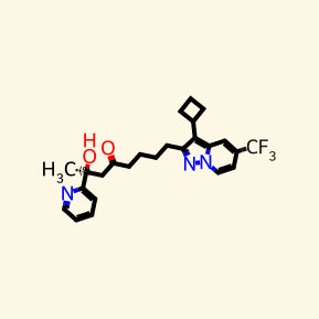 C[C@](O)(CC(=O)CCCCc1nn2ccc(C(F)(F)F)cc2c1C1CCC1)c1ccccn1